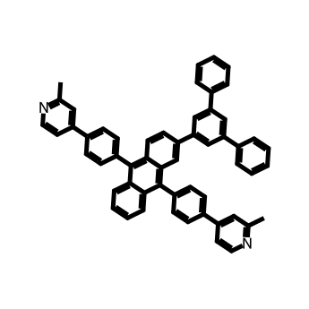 Cc1cc(-c2ccc(-c3c4ccccc4c(-c4ccc(-c5ccnc(C)c5)cc4)c4cc(-c5cc(-c6ccccc6)cc(-c6ccccc6)c5)ccc34)cc2)ccn1